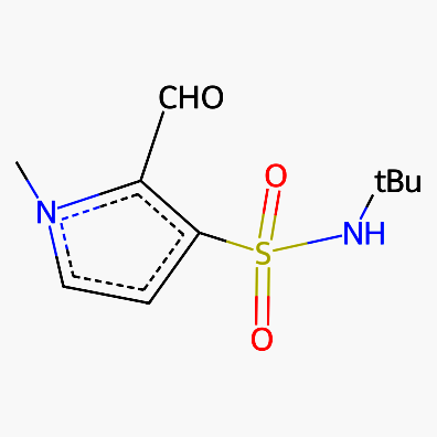 Cn1ccc(S(=O)(=O)NC(C)(C)C)c1C=O